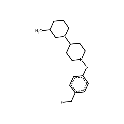 CC1CCCN(C2CCN(Sc3ccc(CF)cc3)CC2)C1